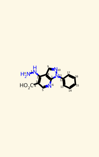 NNc1c(C(=O)O)cnc2c1cnn2-c1ccccc1